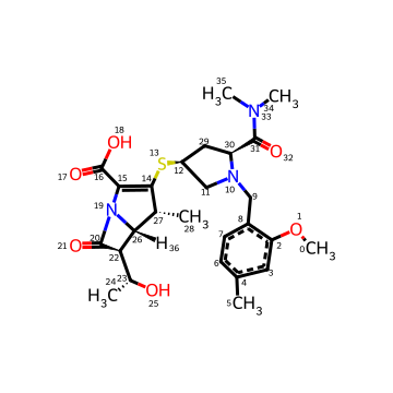 COc1cc(C)ccc1CN1C[C@@H](SC2=C(C(=O)O)N3C(=O)[C@H]([C@@H](C)O)[C@H]3[C@H]2C)C[C@H]1C(=O)N(C)C